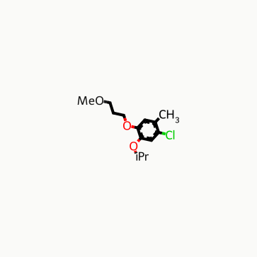 COCCCOc1cc(C)c(Cl)cc1OC(C)C